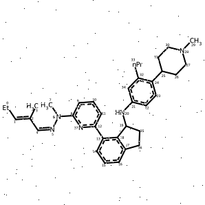 CC/C=C(C)/C=N\N(C)c1cccc(-c2cccc3c2C(Nc2ccc(C4CCN(C)CC4)c(CCC)c2)CC3)n1